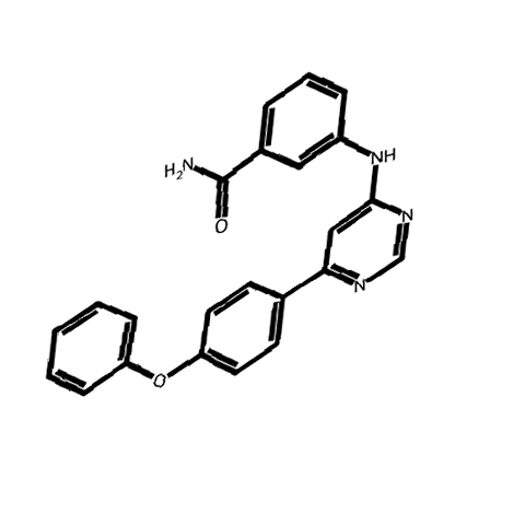 NC(=O)c1cccc(Nc2cc(-c3ccc(Oc4ccccc4)cc3)ncn2)c1